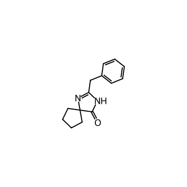 O=C1NC(Cc2ccccc2)=NC12CCCC2